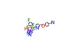 N#Cc1ccc(OCc2ccc(C(F)(F)C(O)(Cn3cnnn3)c3ccc(F)cc3F)nc2)cc1